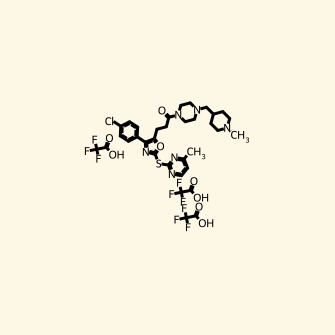 Cc1ccnc(Sc2nc(-c3ccc(Cl)cc3)c(CCC(=O)N3CCN(CC4CCN(C)CC4)CC3)o2)n1.O=C(O)C(F)(F)F.O=C(O)C(F)(F)F.O=C(O)C(F)(F)F